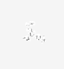 Cn1cnc(-c2cc(-c3ccc(C(F)(F)F)cc3)nc3cc(C(=O)O)ccc23)c1